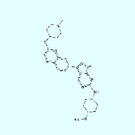 CN1CCC(Oc2cnc3ccc(-c4c[nH]c5nc(N[C@H]6CC[C@@H](OC(F)(F)F)CC6)ncc45)cc3n2)CC1